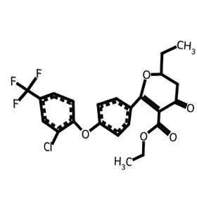 CCOC(=O)C1=C(c2ccc(Oc3ccc(C(F)(F)F)cc3Cl)cc2)OC(CC)CC1=O